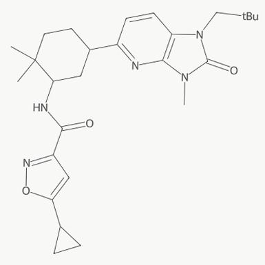 Cn1c(=O)n(CC(C)(C)C)c2ccc(C3CCC(C)(C)C(NC(=O)c4cc(C5CC5)on4)C3)nc21